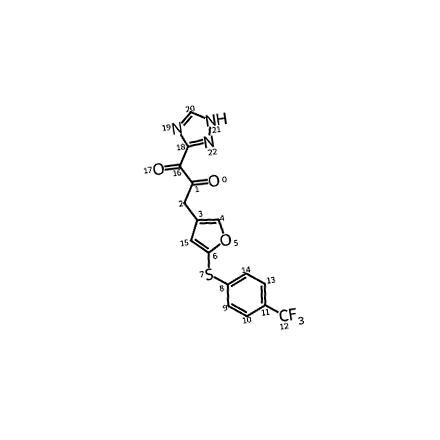 O=C(Cc1coc(Sc2ccc(C(F)(F)F)cc2)c1)C(=O)c1nc[nH]n1